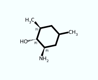 CC1C[C@@H](N)[C@H](O)[C@@H](C)C1